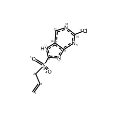 C=CCS(=O)(=O)c1nc2nc(Cl)ncc2[nH]1